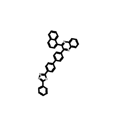 c1ccc(-c2nnc(-c3ccc(-c4ccc(-c5nc6ccccc6nc5-c5cccc6ccccc56)cc4)cc3)o2)cc1